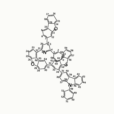 c1ccc(-c2cc(-c3ccc4c(c3)oc3ccccc34)cc(-c3cccc4oc5ccc(-c6cc(-c7ccc8c(c7)c7ccccc7n8-c7ccccc7)c7sc8ccccc8c7c6)cc5c34)n2)cc1